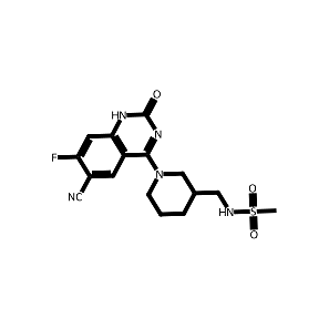 CS(=O)(=O)NCC1CCCN(c2nc(=O)[nH]c3cc(F)c(C#N)cc23)C1